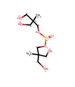 CC(CO)(CO)CO[PH](=O)OCC(C)(CO)CO